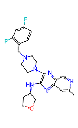 Cc1cc2nc(N[C@@H]3CCOC3)c(N3CCN(Cc4ccc(F)cc4F)CC3)nc2cn1